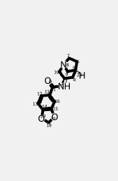 O=C(N[C@@H]1C[C@@H]2CCN(C2)C1)c1ccc2c(c1)OCO2